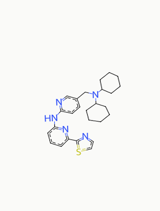 c1cc(Nc2ccc(CN(C3CCCCC3)C3CCCCC3)cn2)nc(-c2nccs2)c1